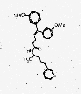 COc1cccc(C(=CCCC(=O)NC(C)CCCc2cccnc2)c2cccc(OC)c2)c1